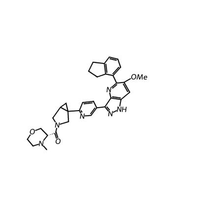 COc1cc2[nH]nc(-c3ccc(C45CC4CN(C(=O)[C@H]4COCCN4C)C5)nc3)c2nc1-c1cccc2c1CCC2